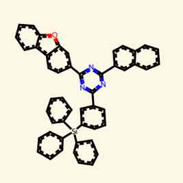 c1ccc([Si](c2ccccc2)(c2ccccc2)c2cccc(-c3nc(-c4ccc5ccccc5c4)nc(-c4ccc5c(c4)oc4ccccc45)n3)c2)cc1